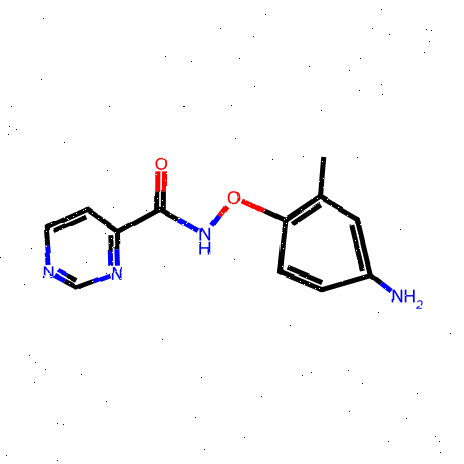 Cc1cc(N)ccc1ONC(=O)c1ccncn1